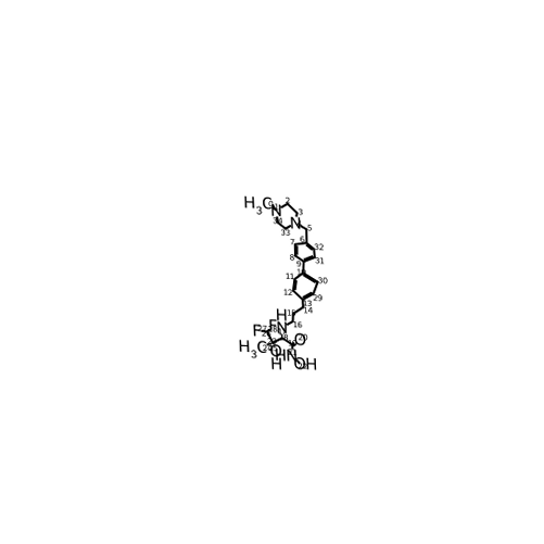 CN1CCN(Cc2ccc(-c3ccc(CCCN[C@H](C(=O)NO)[C@](C)(O)C(F)F)cc3)cc2)CC1